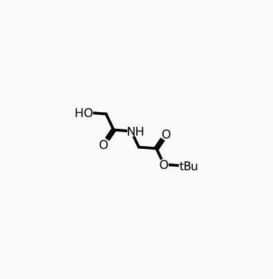 CC(C)(C)OC(=O)CNC(=O)CO